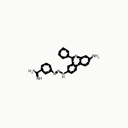 N=C(N)c1cccc(/N=N/Nc2ccc3c(c2)c(-c2ccccc2)nc2cc(N)ccc23)c1